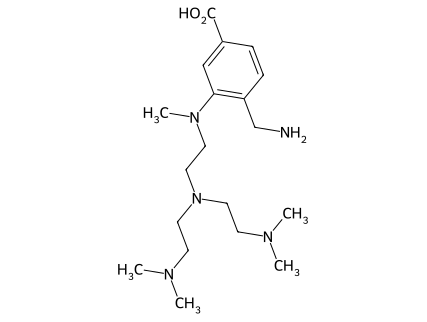 CN(C)CCN(CCN(C)C)CCN(C)c1cc(C(=O)O)ccc1CN